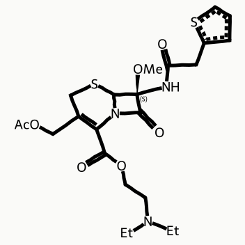 CCN(CC)CCOC(=O)C1=C(COC(C)=O)CSC2N1C(=O)[C@]2(NC(=O)Cc1cccs1)OC